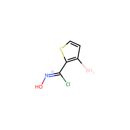 Bc1ccsc1/C(Cl)=N/O